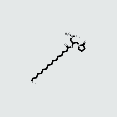 CCCCCCCCCCCCCCCC(=O)OC(CN(C)C)CN1CCCC1=O